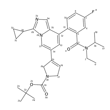 CCN(C(=O)c1cc(F)ccc1-c1cc(C2=CCN(C(=O)OC(C)(C)C)C2)cn2c(C3CC3)ncc12)C(C)C